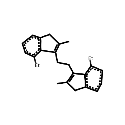 CCc1cccc2c1C(CCC1=C(C)[CH]c3cccc(CC)c31)=C(C)[CH]2